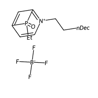 CCCCCCCCCCCC[n+]1ccc2cc1P2(=O)CC.F[B-](F)(F)F